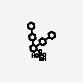 O=P(O)(O)Oc1cccc(-c2ccc(-c3ccccc3)cc2)c1-c1ccc(-c2ccccc2)cc1